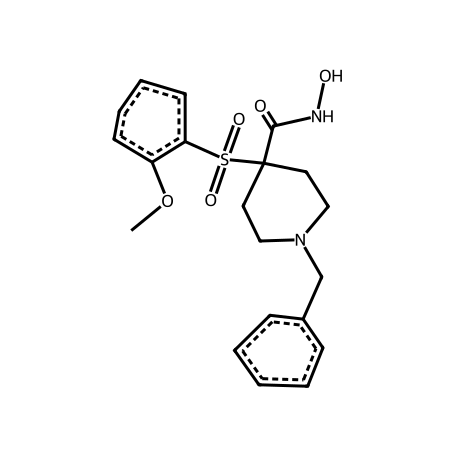 COc1ccccc1S(=O)(=O)C1(C(=O)NO)CCN(Cc2ccccc2)CC1